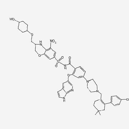 CC1(C)CCC(CN2CCN(c3ccc(C(=O)NS(=O)(=O)c4cc5c(c([N+](=O)[O-])c4)NC(COC4CCC(O)CC4)CO5)c(Oc4cnc5[nH]ccc5c4)c3)CC2)=C(c2ccc(Cl)cc2)C1